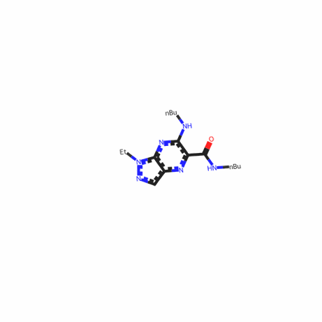 CCCCNC(=O)c1nc2cnn(CC)c2nc1NCCCC